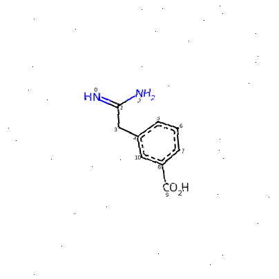 N=C(N)Cc1cccc(C(=O)O)c1